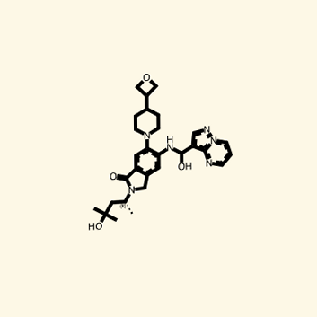 C[C@H](CC(C)(C)O)N1Cc2cc(NC(O)c3cnn4cccnc34)c(N3CCC(C4COC4)CC3)cc2C1=O